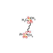 CC(C)OS(=O)(=O)C(C)OC(=O)CCCCC(=O)OC(C)S(C)(=O)=O